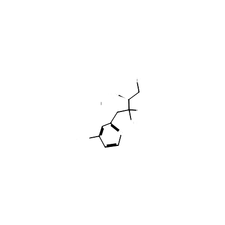 CCCCCc1ccnc(CC(O)(C(=O)O)[C@@H](N)CC(C)C)c1.Cl.Cl